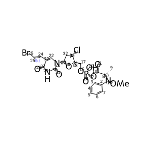 CON(c1ccccc1)[C@@H](C)C(=O)OP(=O)(O)OC[C@H]1O[C@@H](n2cc(/C=C/Br)c(=O)[nH]c2=O)C[C@@H]1Cl